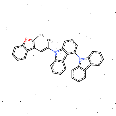 C/C(=C\c1c(C)oc2ccccc12)n1c2ccccc2c2c(-n3c4ccccc4c4ccccc43)cccc21